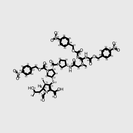 C[C@@H](O)[C@H]1C(=O)N2C(C(=O)O)=C(S[C@H]3C[C@@H](C(=O)N4CC[C@H](NC(=O)CN(C)C(=NC(=O)OCc5ccc([N+](=O)[O-])cc5)NC(=O)OCc5ccc([N+](=O)[O-])cc5)C4)N(C(=O)OCc4ccc([N+](=O)[O-])cc4)C3)[C@H](C)[C@H]12